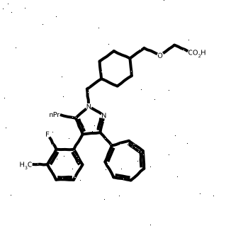 CCCc1c(-c2cccc(C)c2F)c(C2=CC=CC=C=C2)nn1CC1CCC(COCC(=O)O)CC1